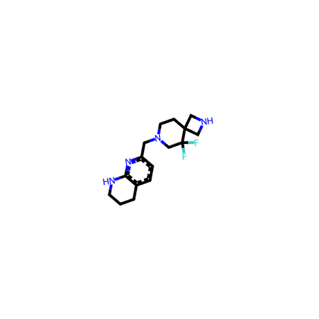 FC1(F)CN(Cc2ccc3c(n2)NCCC3)CCC12CNC2